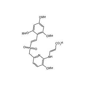 COc1cc(OC)c(C=CS(=O)(=O)Cc2ccc(OC)c(NC=CC(=O)O)n2)c(OC)c1